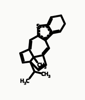 CC(C)C12C=CC3=Cc4sc5c(c4C=C(C=C1)C32C)=CCCC=5